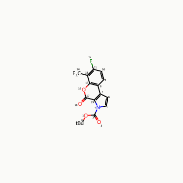 CC(C)(C)OC(=O)n1ccc2c3ccc(F)c(C(F)(F)F)c3oc(=O)c21